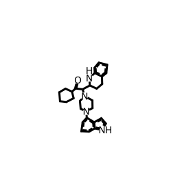 O=C(C1CCCCC1)C(C1CCc2ccccc2N1)N1CCN(c2cccc3[nH]ccc23)CC1